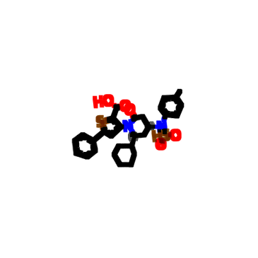 Cc1ccc(N([C@H]2CC(=O)N(c3cc(-c4ccccc4)sc3C(=O)O)[C@H](C3CCCCC3)C2)[SH](=O)=O)cc1